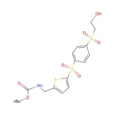 CCCCOC(=O)NCc1ccc(S(=O)(=O)c2ccc(S(=O)(=O)CCO)cc2)s1